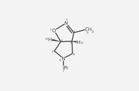 CC1=NO[C@H]2CN(C(C)C)C[C@@H]12